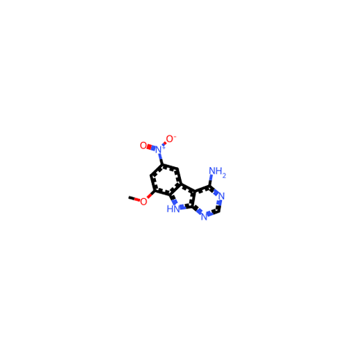 COc1cc([N+](=O)[O-])cc2c1[nH]c1ncnc(N)c12